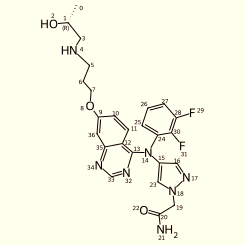 C[C@@H](O)CNCCCOc1ccc2c(N(c3cnn(CC(N)=O)c3)c3cccc(F)c3F)ncnc2c1